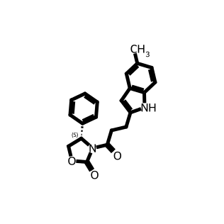 Cc1ccc2[nH]c(CCC(=O)N3C(=O)OC[C@@H]3c3ccccc3)cc2c1